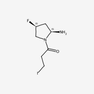 N[C@@H]1C[C@H](F)CN1C(=O)CCI